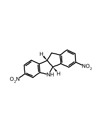 O=[N+]([O-])c1ccc2c(c1)N[C@H]1c3cc([N+](=O)[O-])ccc3C[C@@H]21